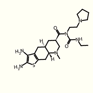 CCNC(=O)N(CCN1CCCC1)C(=O)[C@@H]1C[C@@H]2Cc3c(sc(N)c3N)C[C@H]2N(C)C1